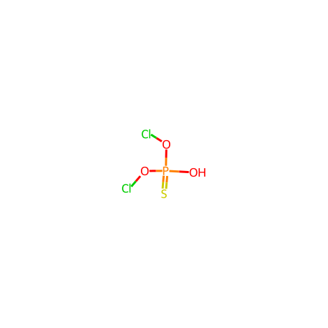 OP(=S)(OCl)OCl